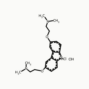 CN(C)CCOc1ccc2sc3ccc(OCCN(C)C)cc3c2c1.Cl.Cl